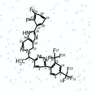 CC(c1ccc(-c2ccc(C(F)(F)F)cc2C(F)(F)F)nn1)N1Cc2nc(-c3cccc(F)c3F)[nH]c2C=N1